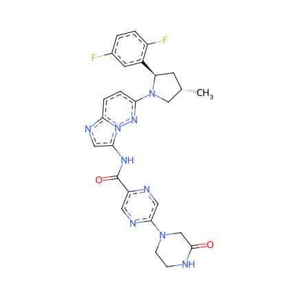 C[C@H]1C[C@H](c2cc(F)ccc2F)N(c2ccc3ncc(NC(=O)c4cnc(N5CCNC(=O)C5)cn4)n3n2)C1